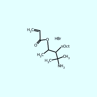 Br.C=CC(=O)OC(C)C(CCCCCCCC)C(C)(C)N